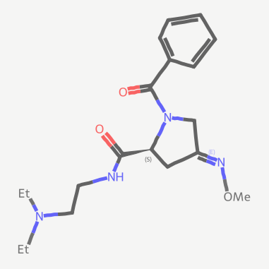 CCN(CC)CCNC(=O)[C@@H]1C/C(=N\OC)CN1C(=O)c1ccccc1